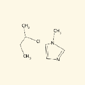 CCC(C)Cl.Cn1ccnc1